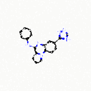 c1ccc(Nc2nc3cc(-c4nnc[nH]4)ccc3n3cccc23)cc1